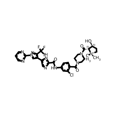 C[N+]1(C)CC[C@H](O)[C@H]1C(=O)N1CCN(C(=O)c2ccc(NC(=O)c3ncc(-c4cn(-c5ncccn5)nc4C(F)(F)F)[nH]3)cc2Cl)CC1